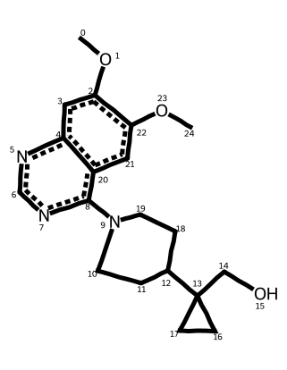 COc1cc2ncnc(N3CCC(C4(CO)CC4)CC3)c2cc1OC